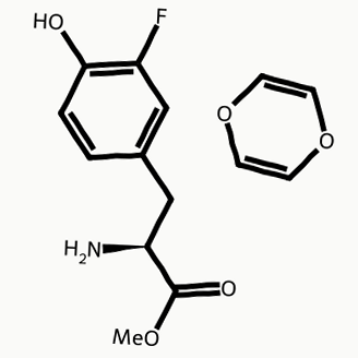 C1=COC=CO1.COC(=O)[C@@H](N)Cc1ccc(O)c(F)c1